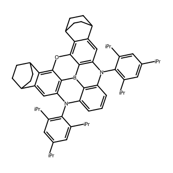 CC(C)c1cc(C(C)C)c(N2c3cccc4c3B3c5c2cc2c(c5Oc5c3c(cc3c5C5CCC3CC5)N4c3c(C(C)C)cc(C(C)C)cc3C(C)C)C3CCC2CC3)c(C(C)C)c1